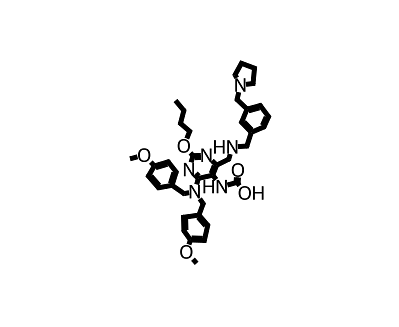 CCCCOc1nc(CNCc2cccc(CN3CCCC3)c2)c(NC(=O)O)c(N(Cc2ccc(OC)cc2)Cc2ccc(OC)cc2)n1